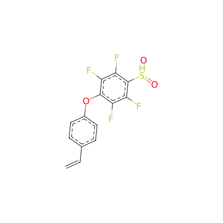 C=Cc1ccc(Oc2c(F)c(F)c([SH](=O)=O)c(F)c2F)cc1